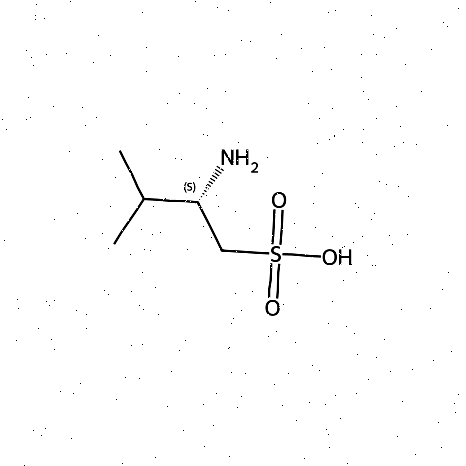 CC(C)[C@H](N)CS(=O)(=O)O